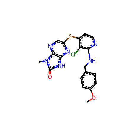 COc1ccc(CNc2nccc(Sc3cnc4c(n3)[nH]c(=O)n4C)c2Cl)cc1